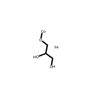 OCC(O)C[O][Co].[Fe]